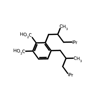 CC(C)CC(C)Cc1ccc(C(=O)O)c(C(=O)O)c1CC(C)CC(C)C